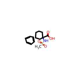 CS(=O)(=O)NC1(C(=O)O)CCCCC1.c1ccccc1